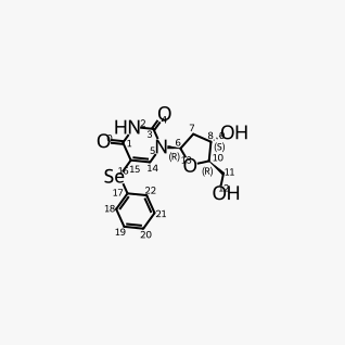 O=c1[nH]c(=O)n([C@H]2C[C@H](O)[C@@H](CO)O2)cc1[Se]c1ccccc1